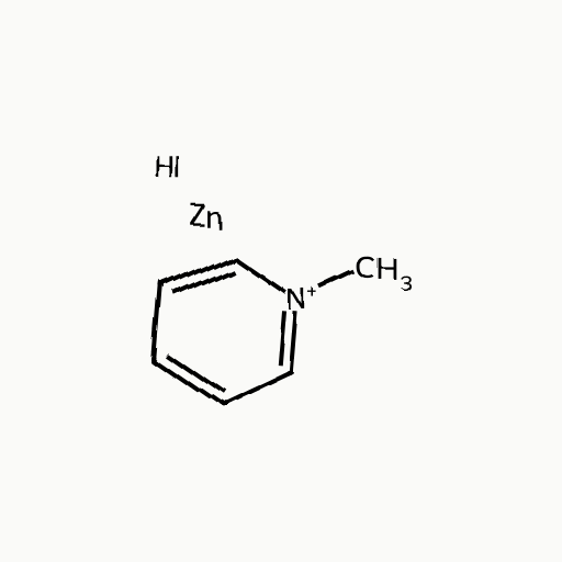 C[n+]1ccccc1.I.[Zn]